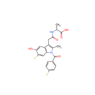 Cc1c(CC(=O)NC(C)C(=O)O)c2cc(O)c(F)cc2n1C(=O)c1ccc(F)cc1